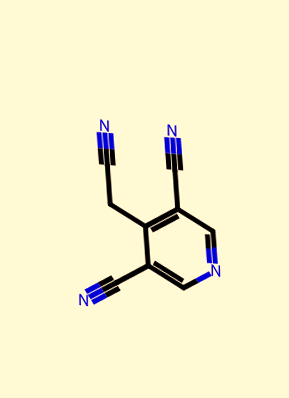 N#CCc1c(C#N)cncc1C#N